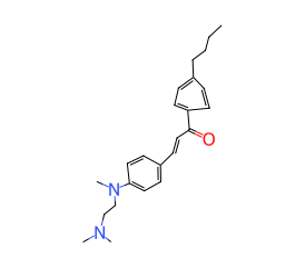 CCCCc1ccc(C(=O)C=Cc2ccc(N(C)CCN(C)C)cc2)cc1